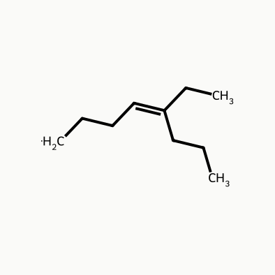 [CH2]CCC=C(CC)CCC